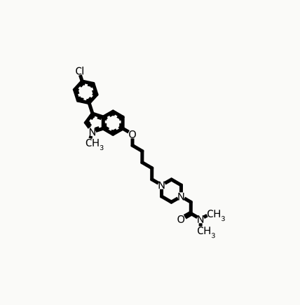 CN(C)C(=O)CN1CCN(CCCCCOc2ccc3c(-c4ccc(Cl)cc4)cn(C)c3c2)CC1